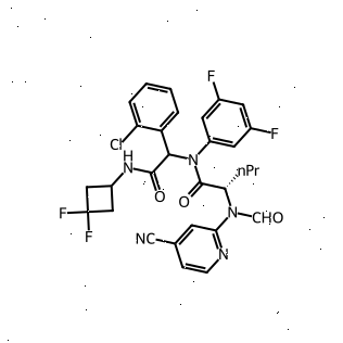 CCC[C@@H](C(=O)N(c1cc(F)cc(F)c1)C(C(=O)NC1CC(F)(F)C1)c1ccccc1Cl)N(C=O)c1cc(C#N)ccn1